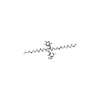 CCCCCCCCCCCCCC[P+](CCCCCCCCCCCCCC)(Cc1ccccc1)Cc1ccccc1.[Cl-]